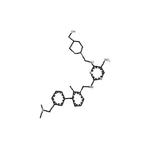 Cc1c(CNc2ncc([N+](=O)[O-])c(NCC3CCC(CO)CC3)n2)cccc1-c1cccc(CN(C)C)c1